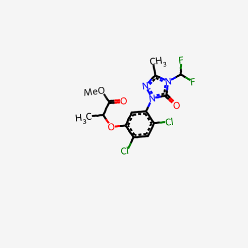 COC(=O)C(C)Oc1cc(-n2nc(C)n(C(F)F)c2=O)c(Cl)cc1Cl